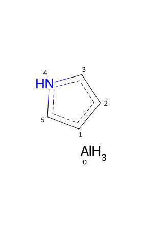 [AlH3].c1cc[nH]c1